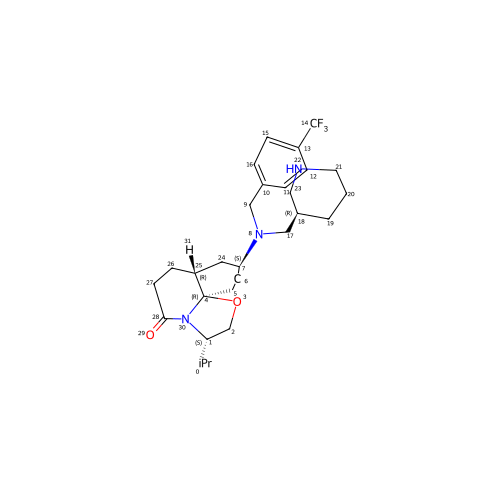 CC(C)[C@H]1CO[C@]23CC[C@H](N(Cc4ccc(C(F)(F)F)cc4)C[C@@H]4CCCNC4)C[C@H]2CCC(=O)N13